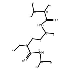 CCC(CCC(C)NC(=O)C(C)C(C)C)C(=O)NC(C)C